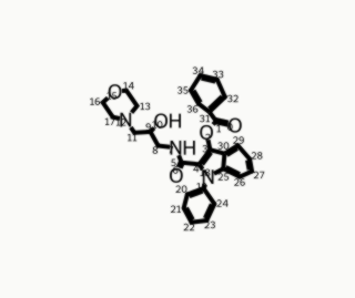 O=C(Oc1c(C(=O)NCC(O)CN2CCOCC2)n(-c2ccccc2)c2ccccc12)c1ccccc1